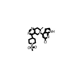 C[C@@H]1Cc2ncnc(C3CCN(S(C)(=O)=O)CC3)c2CN1c1cc(Cl)nc2[nH]ccc12